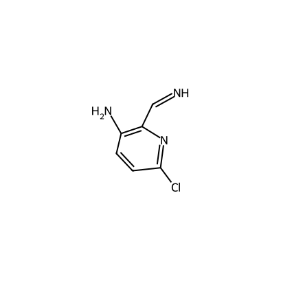 N=Cc1nc(Cl)ccc1N